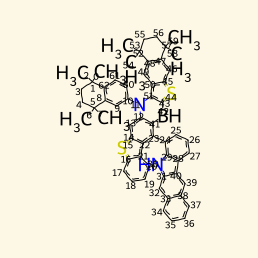 CC1(C)CCC(C)(C)c2cc(N3c4cc5sc6ccccc6c5c(-c5cccc6c5[nH]c5cc7ccccc7cc56)c4Bc4sc5cc6c(cc5c43)C(C)(C)CCC6(C)C)ccc21